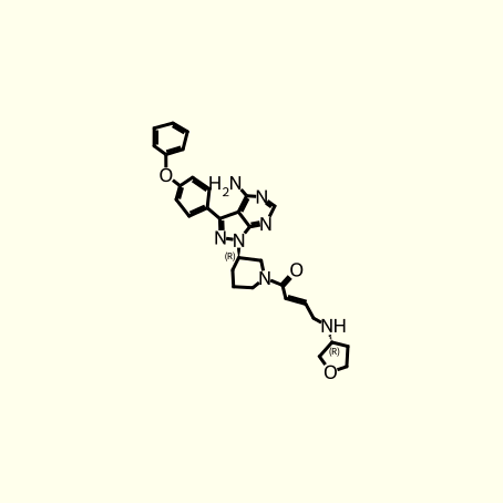 Nc1ncnc2c1c(-c1ccc(Oc3ccccc3)cc1)nn2[C@@H]1CCCN(C(=O)C=CCN[C@@H]2CCOC2)C1